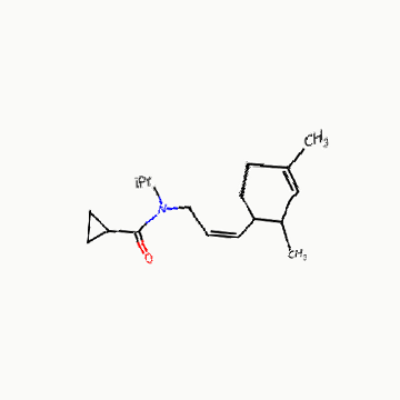 CC1=CC(C)C(/C=C\CN(C(=O)C2CC2)C(C)C)CC1